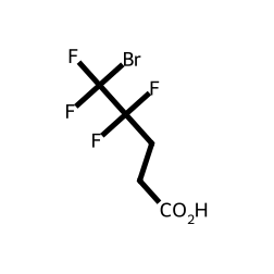 O=C(O)CCC(F)(F)C(F)(F)Br